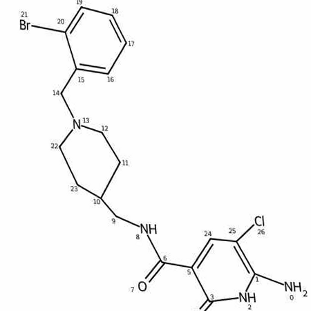 Nc1[nH]c(=O)c(C(=O)NCC2CCN(Cc3ccccc3Br)CC2)cc1Cl